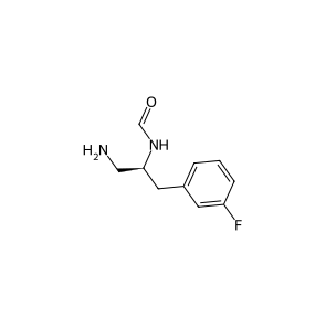 NC[C@H](Cc1cccc(F)c1)NC=O